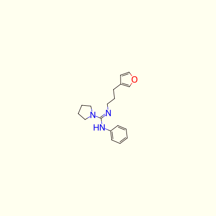 c1ccc(NC(=NCCCc2ccoc2)N2CCCC2)cc1